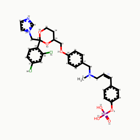 CN(C/C=C\c1ccc(OP(=O)(O)O)cc1)Cc1ccc(OCC2CCOC(Cn3ccnc3)(c3ccc(Cl)cc3Cl)O2)cc1